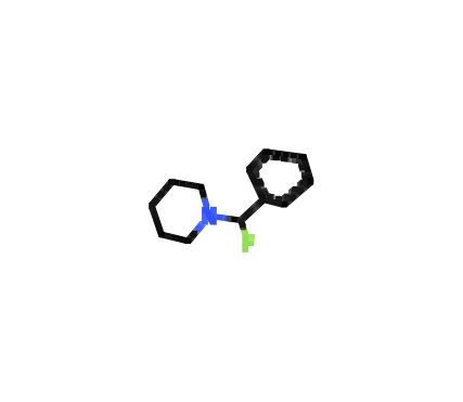 FC(c1ccccc1)N1CCCCC1